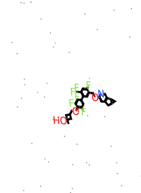 CC1(O)CC(COc2c(F)cc(-c3cc(COc4cc5c(cn4)C4CC4C5)c(F)cc3C(F)(F)F)cc2F)C1